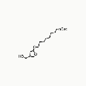 CCCCCCCCCCCCCCCCCCOC1CC(CO)CO1